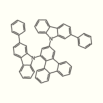 c1ccc(-c2ccc3c4ccccc4n(-c4cc(-n5c6ccccc6c6ccc(-c7ccccc7)cc65)c5c6ccccc6c6ccccc6c5c4)c3c2)cc1